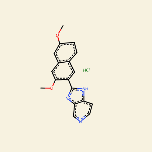 COc1ccc2cc(-c3nc4cnccc4[nH]3)c(OC)cc2c1.Cl